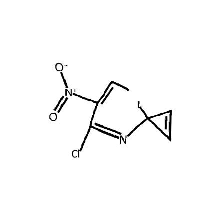 C/C=C(\C(Cl)=N/C1(I)C=C1)[N+](=O)[O-]